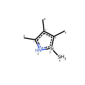 Cc1[nH][si]([SiH3])c(C)c1C